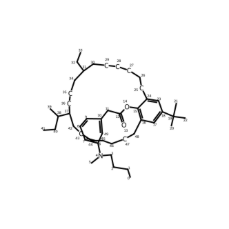 CCCCN(C)c1cccc(CC(=O)Oc2c3cc(C(C)(C)C)cc2CCCCCCC(CC)CCCC(C(C)CC)CCCCCCC3)c1